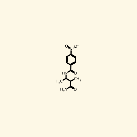 CC(NC(=O)c1ccc([N+](=O)[O-])cc1)C(C)C(N)=O